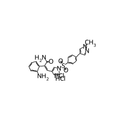 Cl.Cl.Cn1cc(-c2ccc(S(=O)(=O)n3ccc(C=C(C(N)=O)c4ccccc4N)c3)cc2)cn1